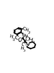 Cc1cccc(C)c1NC(=O)C(C)(C)N1CCCCC1